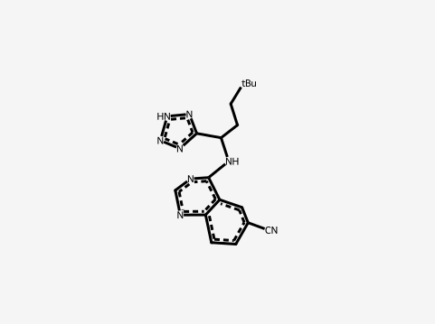 CC(C)(C)CCC(Nc1ncnc2ccc(C#N)cc12)c1nn[nH]n1